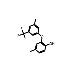 Cc1cc(Oc2cc(C)ccc2O)cc(C(F)(F)F)c1